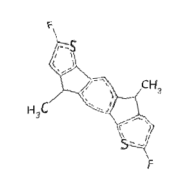 CC1c2cc3c(cc2-c2sc(F)cc21)C(C)c1cc(F)sc1-3